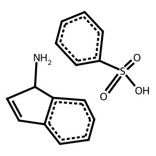 NC1C=Cc2ccccc21.O=S(=O)(O)c1ccccc1